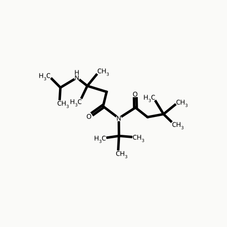 CC(C)NC(C)(C)CC(=O)N(C(=O)CC(C)(C)C)C(C)(C)C